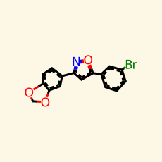 Brc1cccc(-c2cc(-c3ccc4c(c3)OCO4)no2)c1